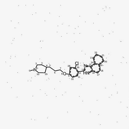 CN1CCC(CCCOc2ccc(-c3nc4c(ccc5ccccc54)[nH]3)c(Cl)c2)CC1